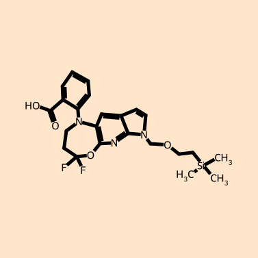 C[Si](C)(C)CCOCn1ccc2cc3c(nc21)OC(F)(F)CCN3c1ccccc1C(=O)O